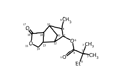 CCC(C)(C)C(=O)OC1C(C)C2CC1C1COC(=O)C21